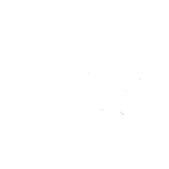 C=CC(=O)Nc1cc(Nc2ncc3cnc(-c4cccc(F)c4)n3n2)c(OC)cc1OC1CCN(C)C1